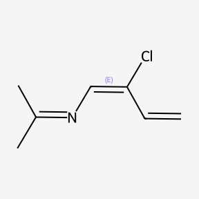 C=C/C(Cl)=C\N=C(C)C